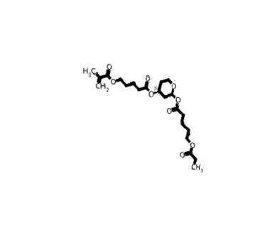 C=C(C)C(=O)OCCCCC(=O)O[C@H]1CCOC(OC(=O)CCCCOC(=O)CC)C1